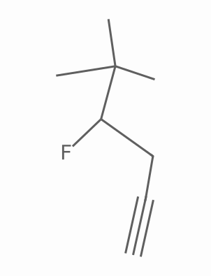 C#CCC(F)C(C)(C)C